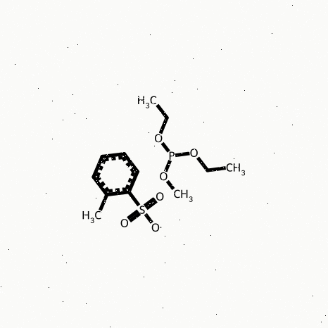 CCOP(OC)OCC.Cc1ccccc1S([O])(=O)=O